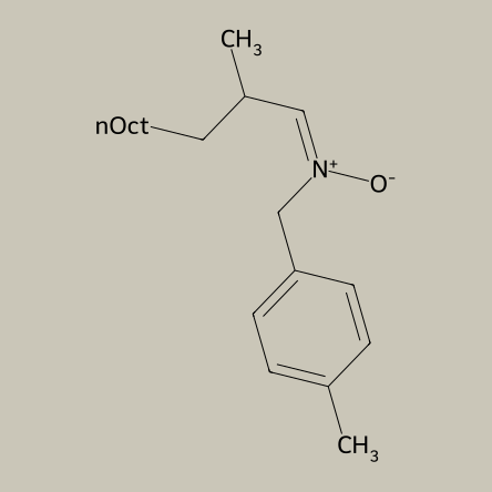 CCCCCCCCCC(C)/C=[N+](/[O-])Cc1ccc(C)cc1